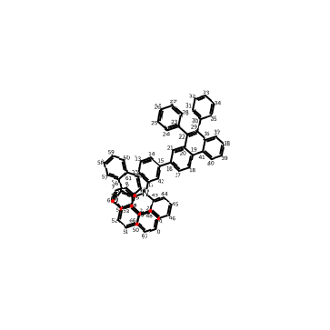 c1ccc(-c2ccccc2N(c2cccc(-c3ccc4c(c3)c(-c3ccccc3)c(-c3ccccc3)c3ccccc34)c2)c2ccccc2-c2cccc3oc4c5ccccc5ccc4c23)cc1